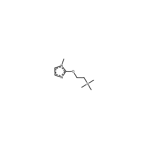 Cn1ccnc1OCC[Si](C)(C)C